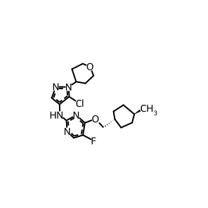 C[C@H]1CC[C@H](COc2nc(Nc3cnn(C4CCOCC4)c3Cl)ncc2F)CC1